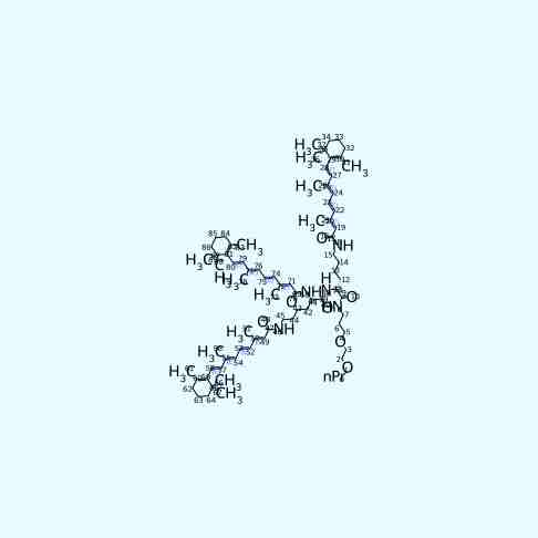 CCCOCCOCCCNC(=O)[C@@H](CCCCNC(=O)/C=C(C)/C=C/C=C(C)/C=C/C1=C(C)CCCC1(C)C)NC(=O)[C@@H](CCCCNC(=O)/C=C(C)/C=C/C=C(C)/C=C/C1=C(C)CCCC1(C)C)NC(=O)/C=C(C)/C=C/C=C(C)/C=C/C1=C(C)CCCC1(C)C